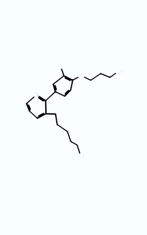 CCCCCCc1cccnc1-c1ccc(OCCCC)c(Cl)c1